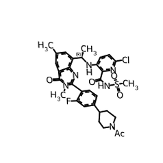 CC(=O)N1CCC(c2ccc(-c3nc4c([C@@H](C)Nc5ccc(Cl)nc5C(=O)NS(C)(=O)=O)cc(C)cc4c(=O)n3C)c(F)c2)CC1